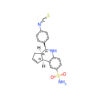 NS(=O)(=O)c1ccc2c(c1)[C@H]1C=CC[C@H]1[C@@H](c1ccc(N=C=S)cc1)N2